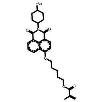 C=C(C)C(=O)OCCCCCOc1ccc2c3c(cccc13)C(=O)N(C1CCC(C(C)(C)C)CC1)C2=O